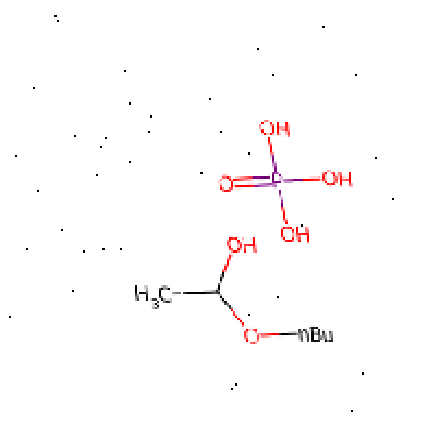 CCCCOC(C)O.O=P(O)(O)O